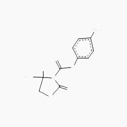 CC1(C)COC(=O)N1C(=O)Oc1ccc([N+](=O)[O-])cc1